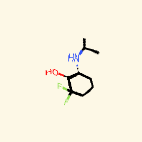 CC(C)N[C@@H]1CCCC(F)(F)[C@H]1O